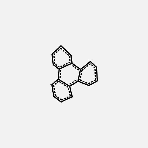 [c]1ccc2c(c1)c1[c]cccc1c1ccccc21